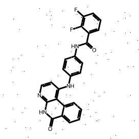 O=C(Nc1ccc(Nc2ccnc3[nH]c(=O)c4ccccc4c23)cc1)c1cccc(F)c1F